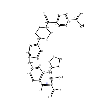 CC(=O)/C(NO)=C(\C)c1cnc(Nc2ccc(N3CCN(C(=O)c4ccc(C(=O)O)cc4)CC3)cn2)nc1NC1CCCC1